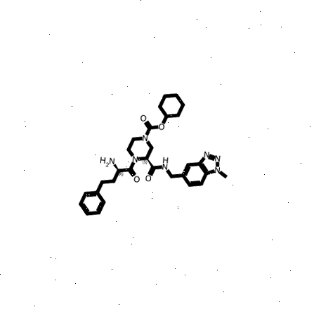 Cn1nnc2cc(CNC(=O)[C@@H]3CN(C(=O)OC4CCCCC4)CCN3C(=O)[C@H](N)CCc3ccccc3)ccc21